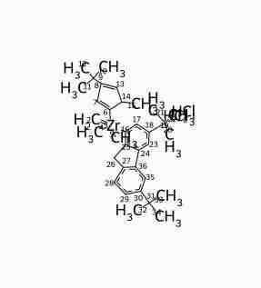 Cl.Cl.[CH2]=[Zr]([CH3])([CH3])([C]1=CC(C(C)(C)C)=CC1C)[c]1cc(C(C)(C)C)cc2c1Cc1ccc(C(C)(C)C)cc1-2